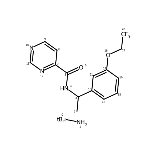 CC(C)(C)N.CC(NC(=O)c1ccncn1)c1cccc(OCC(F)(F)F)c1